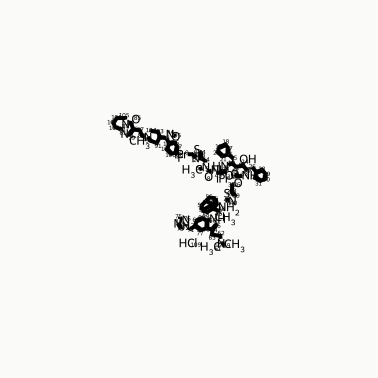 CC(C)c1nc(CN(C)C(=O)N[C@H](C(=O)N[C@@H](Cc2ccccc2)C[C@H](O)[C@H](Cc2ccccc2)NC(=O)OCc2cncs2)C(C)C)cs1.CC(N)C12CC3CC(CC(C3)C1)C2.CN(C)CCc1c[nH]c2ccc(Cn3cncn3)cc12.Cc1nc2n(c(=O)c1CCN1CCC(c3noc4cc(F)ccc34)CC1)CCCC2.Cl